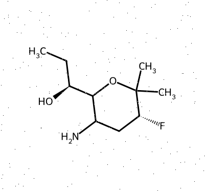 CC[C@H](O)C1OC(C)(C)[C@H](F)CC1N